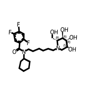 O=C(c1cc(F)c(F)cc1F)N(CCCCCCN1C[C@H](O)[C@@H](O)[C@H](O)[C@H]1CO)C1CCCCC1